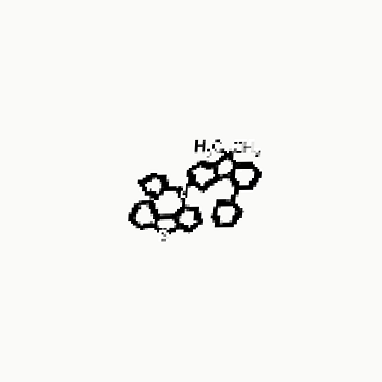 CC1(C)c2ccc(N(c3ccccc3)c3cccc4sc5ccccc5c34)cc2-c2c(-c3ccccc3)cccc21